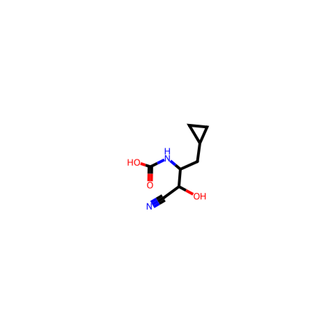 N#CC(O)C(CC1CC1)NC(=O)O